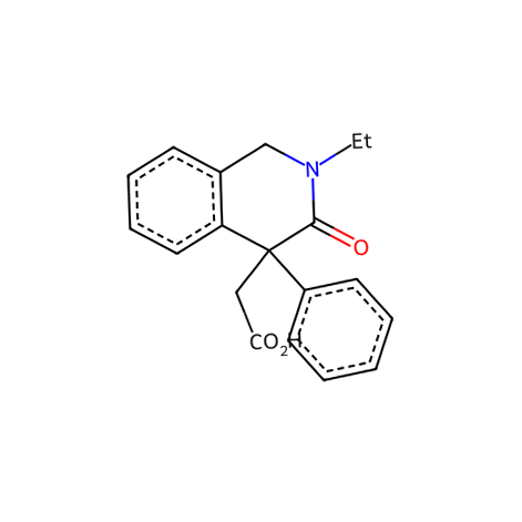 CCN1Cc2ccccc2C(CC(=O)O)(c2ccccc2)C1=O